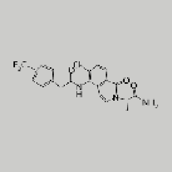 C[C@H](C(N)=O)n1ccc2c(NC(=O)Cc3ccc(C(F)(F)F)cc3)c(Cl)ccc2c1=O